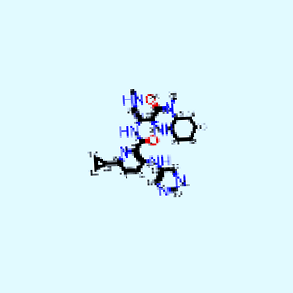 CN/C=C(/NC(=O)c1nc(C2CC2)ccc1Nc1cncnc1)C(=N)C(=O)N(C)C1CCCCC1